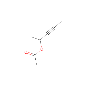 CC#CC(C)OC(C)=O